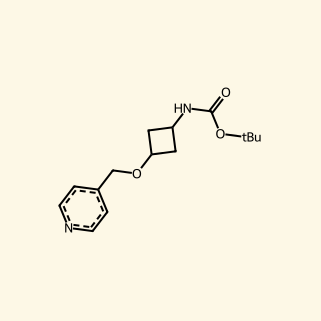 CC(C)(C)OC(=O)NC1CC(OCc2ccncc2)C1